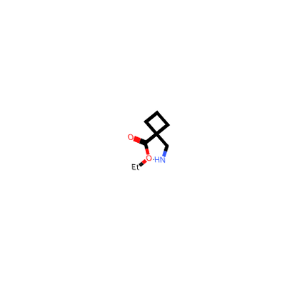 CCOC(=O)C1(C[NH])CCC1